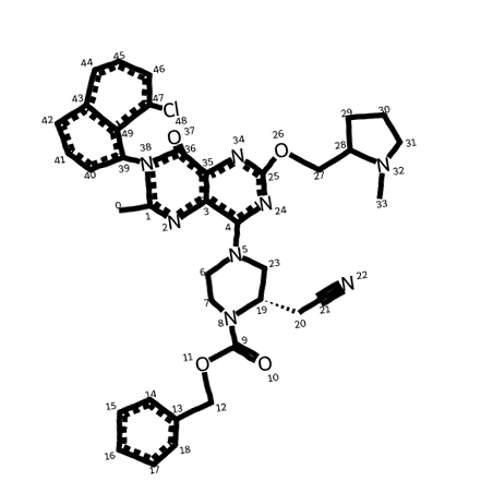 Cc1nc2c(N3CCN(C(=O)OCc4ccccc4)[C@@H](CC#N)C3)nc(OCC3CCCN3C)nc2c(=O)n1-c1cccc2cccc(Cl)c12